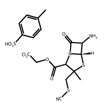 CC1(CSC#N)S[C@H]2C(N)C(=O)N2C1C(=O)OCC(Cl)(Cl)Cl.Cc1ccc(S(=O)(=O)O)cc1